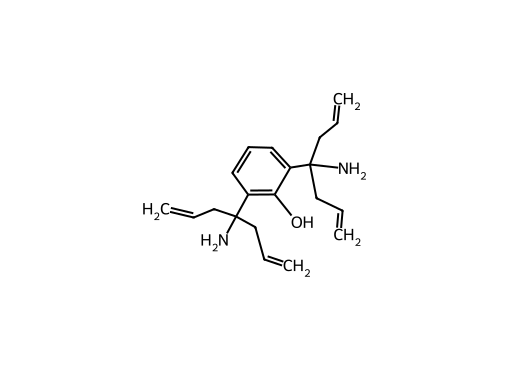 C=CCC(N)(CC=C)c1cccc(C(N)(CC=C)CC=C)c1O